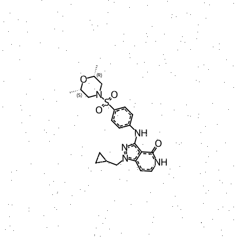 C[C@@H]1CN(S(=O)(=O)c2ccc(Nc3nn(CC4CC4)c4cc[nH]c(=O)c34)cc2)C[C@H](C)O1